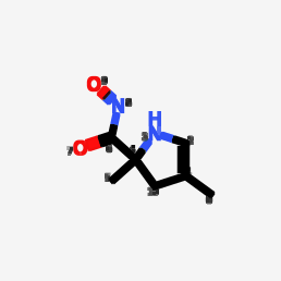 CC1=CNC(C)(C(=O)N=O)C1